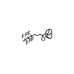 CC(F)(F)C(F)(F)C(F)(F)CCCC(=O)C12CC3CC(CC(C3)C1)C2